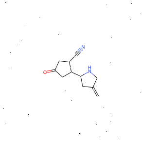 C=C1CNC(C2CC(=O)CC2C#N)C1